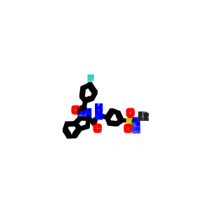 CCNS(=O)(=O)c1ccc(NC(=O)C2(NC(=O)c3ccc(F)cc3)Cc3ccccc3C2)cc1